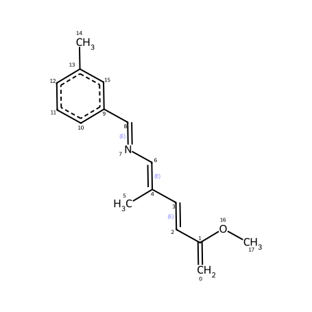 C=C(/C=C/C(C)=C/N=C/c1cccc(C)c1)OC